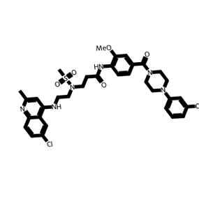 COc1cc(C(=O)N2CCN(c3cccc(C(F)(F)F)c3)CC2)ccc1NC(=O)CCN(CCNc1cc(C)nc2ccc(Cl)cc12)S(C)(=O)=O